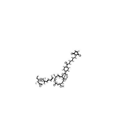 CC[C@H](O)[C@@H](C)[C@@H]1O[C@H]1C[C@@](C)(O)/C=C/C=C(\C)[C@H]1OC(=O)C[C@H](O)CC[C@@](C)(OC)C(OC(=O)N2CCN(C(=O)CCCCCN3C(=O)C=CC3=O)CC2)/C=C/[C@@H]1C